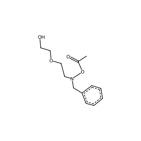 CC(=O)ON(CCOCCO)Cc1ccccc1